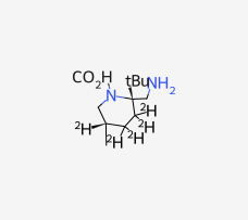 [2H]C1([2H])C([2H])([2H])[C@]([2H])(C)CN(C(=O)O)[C@@]1(CN)C(C)(C)C